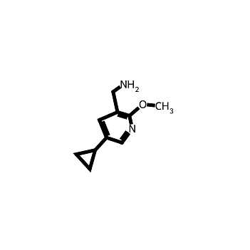 COc1ncc(C2CC2)cc1CN